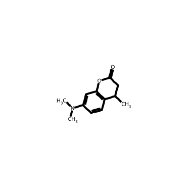 CC1CC(=O)Oc2cc(N(C)C)ccc21